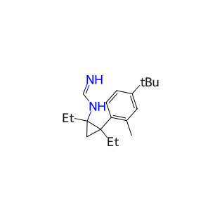 CCC1(NC=N)CC1(CC)c1ccc(C(C)(C)C)cc1C